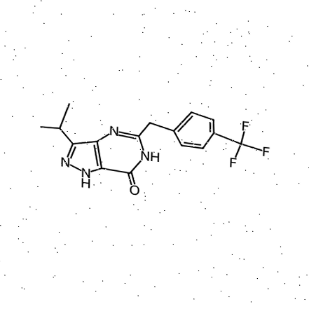 CC(C)c1n[nH]c2c(=O)[nH]c(Cc3ccc(C(F)(F)F)cc3)nc12